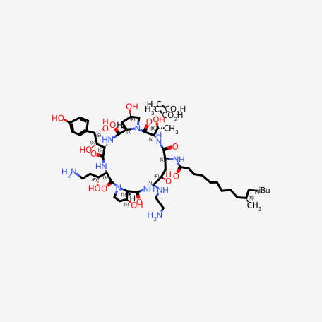 CC(=O)O.CC(=O)O.CC[C@H](C)C[C@H](C)CCCCCCCCC(=O)N[C@H]1C[C@@H](O)[C@@H](NCCN)NC(=O)[C@@H]2[C@@H](O)CCN2C(=O)[C@H]([C@H](O)CCN)NC(=O)[C@H]([C@H](O)[C@@H](O)c2ccc(O)cc2)NC(=O)[C@@H]2C[C@@H](O)CN2C(=O)[C@H]([C@@H](C)O)NC1=O